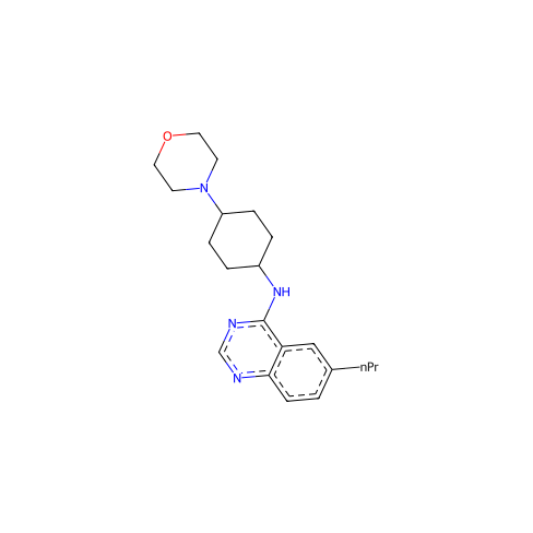 CCCc1ccc2ncnc(NC3CCC(N4CCOCC4)CC3)c2c1